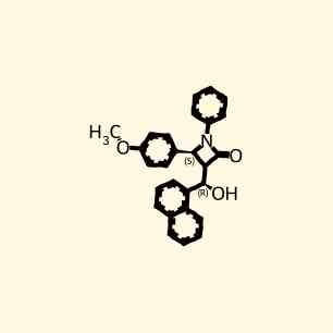 COc1ccc([C@@H]2C([C@@H](O)c3cccc4ccccc34)C(=O)N2c2ccccc2)cc1